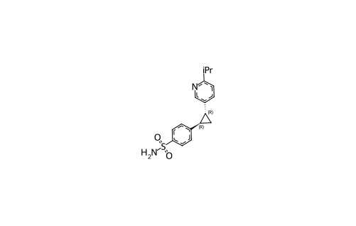 CC(C)c1ccc([C@@H]2C[C@H]2c2ccc(S(N)(=O)=O)cc2)cn1